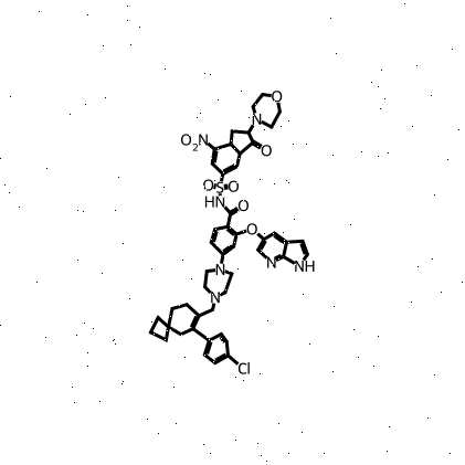 O=C(NS(=O)(=O)C1=CC2C(=O)C(N3CCOCC3)CC2C([N+](=O)[O-])=C1)c1ccc(N2CCN(CC3=C(c4ccc(Cl)cc4)CC4(CCC4)CC3)CC2)cc1Oc1cnc2[nH]ccc2c1